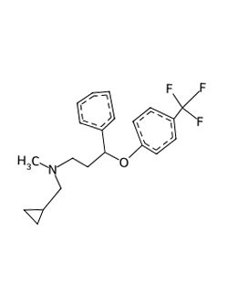 CN(CCC(Oc1ccc(C(F)(F)F)cc1)c1ccccc1)CC1CC1